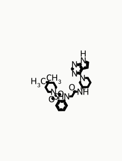 CC1(C)CCN(S(=O)(=O)c2ccccc2NCC(=O)N[C@@H]2CCCN(c3ncnc4[nH]ccc34)C2)CC1